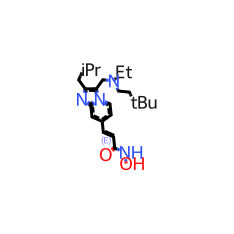 CCN(CCC(C)(C)C)Cc1c(CC(C)C)nc2cc(/C=C/C(=O)NO)ccn12